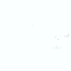 CCCN(C/C=C/c1ccccc1)CCC